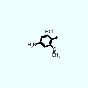 COc1cc(N)ccc1F.Cl